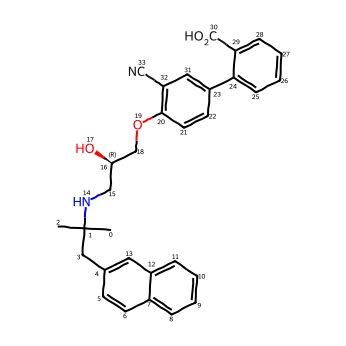 CC(C)(Cc1ccc2ccccc2c1)NC[C@@H](O)COc1ccc(-c2ccccc2C(=O)O)cc1C#N